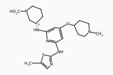 Cc1cnc(Nc2cc(OC3CCN(C)CC3)cc(N[C@H]3CCCN(C(=O)O)C3)n2)s1